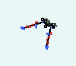 CC1(C)C(/C=C/C2=C(Cl)C(=C/C=C3/N(CCCCCC(=O)NCCOCCOCCOCCN=[N+]=[N-])c4ccccc4C3(C)C)/c3ccccc32)=[N+](CCCCCC(=O)NCCOCCOCCOCCN=[N+]=[N-])c2ccccc21